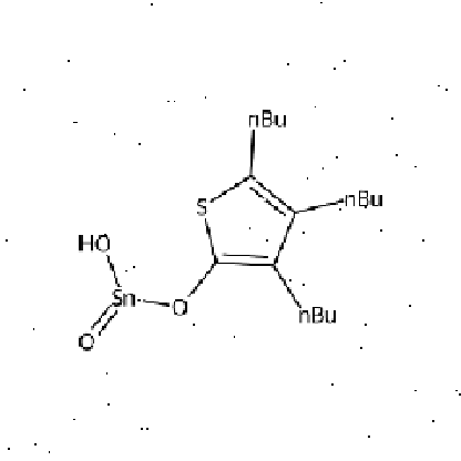 CCCCc1sc([O][Sn](=[O])[OH])c(CCCC)c1CCCC